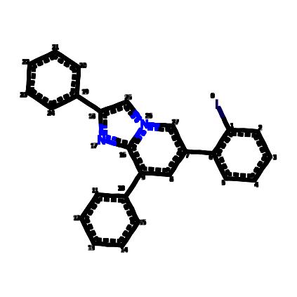 Ic1ccccc1-c1cc(-c2ccccc2)c2nc(-c3ccccc3)cn2c1